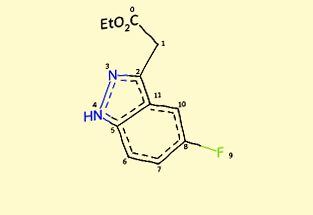 CCOC(=O)Cc1n[nH]c2ccc(F)cc12